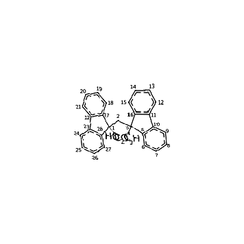 O=C(O)C1(CC2(C(=O)O)c3ccccc3-c3ccccc32)c2ccccc2-c2ccccc21